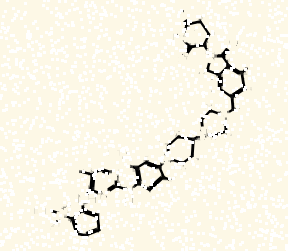 Cc1cc(Nc2ncc(Cl)c(Nc3ccccc3S(=O)(=O)C(C)C)n2)c(OC(C)C)cc1N1CCC(N2CCN(Cc3cc(F)c4c(c3)CN(C3CCC(=O)NC3=O)C4=O)CC2)CC1